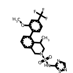 COc1cc(C(F)(F)F)ccc1-c1cccc2c1C(C)CN(S(=O)(=O)Nc1ncns1)C2